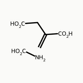 C=C(CC(=O)O)C(=O)O.NC(=O)O